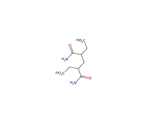 NC(=O)C(CC(=O)O)CC(CC(=O)O)C(N)=O